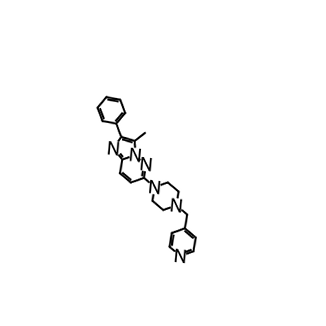 Cc1c(-c2ccccc2)nc2ccc(N3CCN(Cc4ccncc4)CC3)nn12